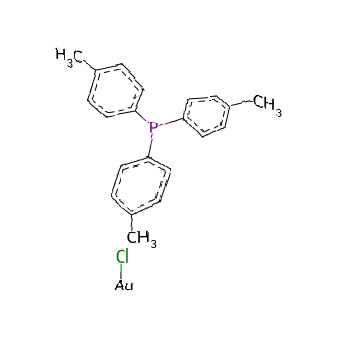 Cc1ccc(P(c2ccc(C)cc2)c2ccc(C)cc2)cc1.[Cl][Au]